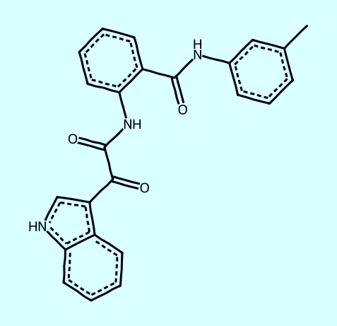 Cc1cccc(NC(=O)c2ccccc2NC(=O)C(=O)c2c[nH]c3ccccc23)c1